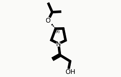 C=C(CO)N1CC[C@@H](OC(C)C)C1